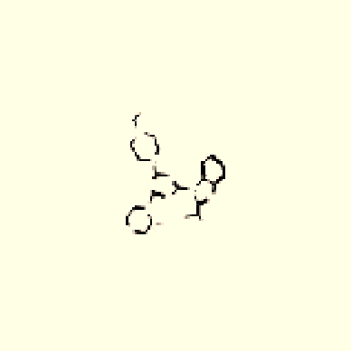 CC(=O)CN1CCN(c2nc(N3CCO[C@@H](C)[C@@H]3C)nc(-n3c(C(F)F)nc4ccccc43)n2)CC1